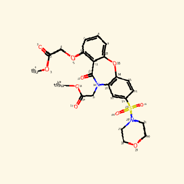 CC(C)(C)OC(=O)COc1cccc2c1C(=O)N(CC(=O)OC(C)(C)C)c1cc(S(=O)(=O)N3CCOCC3)ccc1O2